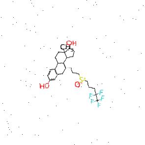 CC12CCC3c4ccc(O)cc4C[C@@H](CCC[S+]([O-])CCCC(F)(F)C(F)(F)F)C3C1CCC2O